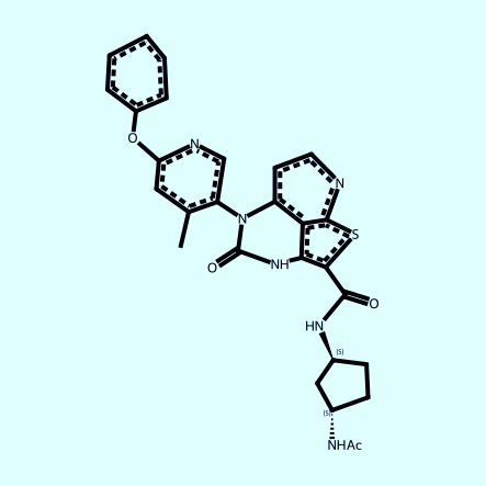 CC(=O)N[C@H]1CC[C@H](NC(=O)c2sc3nccc4c3c2NC(=O)N4c2cnc(Oc3ccccc3)cc2C)C1